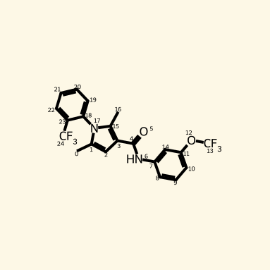 Cc1cc(C(=O)Nc2cccc(OC(F)(F)F)c2)c(C)n1-c1ccccc1C(F)(F)F